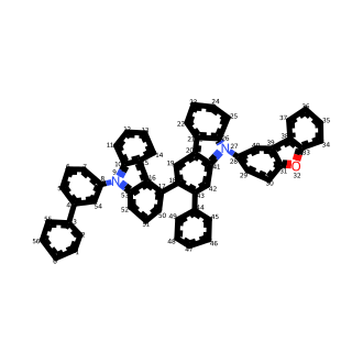 c1ccc(-c2cccc(-n3c4ccccc4c4c(-c5cc6c7ccccc7n(-c7ccc8oc9ccccc9c8c7)c6cc5-c5ccccc5)cccc43)c2)cc1